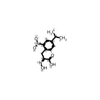 CC(C)c1ccc(C/C(=N/O)C(=O)O)c([N+](=O)[O-])c1